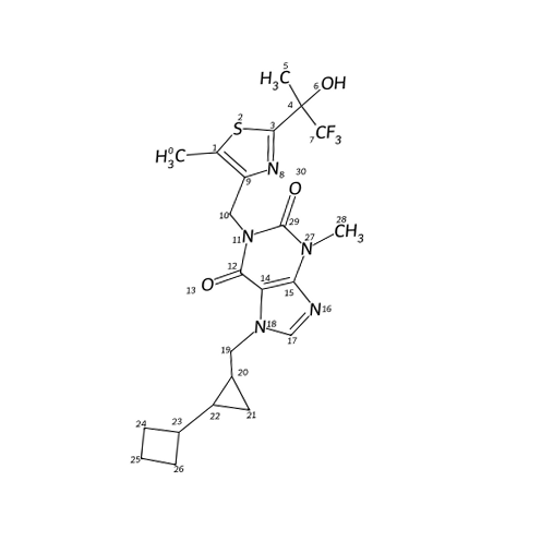 Cc1sc(C(C)(O)C(F)(F)F)nc1Cn1c(=O)c2c(ncn2CC2CC2C2CCC2)n(C)c1=O